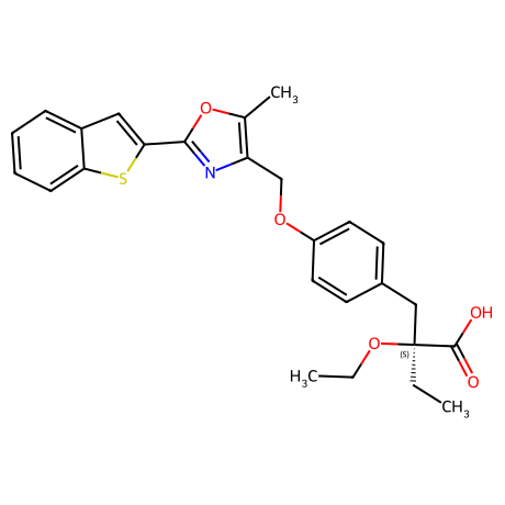 CCO[C@@](CC)(Cc1ccc(OCc2nc(-c3cc4ccccc4s3)oc2C)cc1)C(=O)O